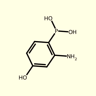 Nc1cc(O)ccc1P(O)O